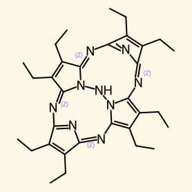 CCC1=C(CC)/C2=N/c3c(CC)c(CC)c4n3Nn3/c(c(CC)c(CC)/c3=N/C3=NC(=N\4)/C(CC)=C3CC)=N\C1=N2